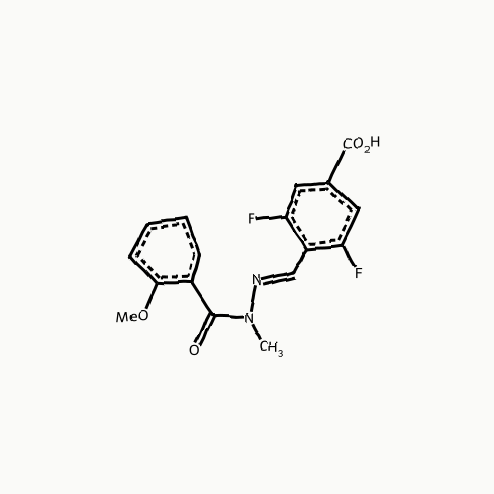 COc1ccccc1C(=O)N(C)N=Cc1c(F)cc(C(=O)O)cc1F